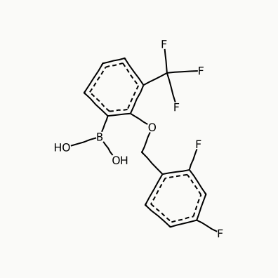 OB(O)c1cccc(C(F)(F)F)c1OCc1ccc(F)cc1F